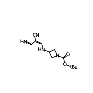 CC(C)(C)OC(=O)N1CC(N/C=C(/C#N)C=N)C1